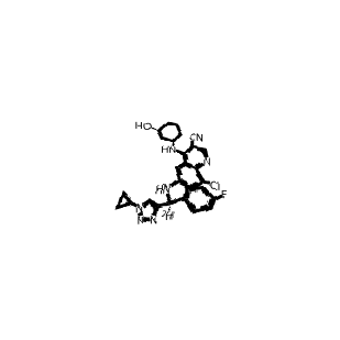 [2H][C@](Nc1cc(Cl)c2ncc(C#N)c(N[C@@H]3CCC[C@H](O)C3)c2c1)(c1ccc(F)cc1)c1cn(C2CC2)nn1